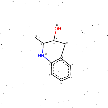 CC1Nc2ccccc2CC1O